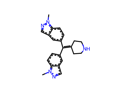 Cn1ncc2cc(C(=C3CCNCC3)c3ccc4c(cnn4C)c3)ccc21